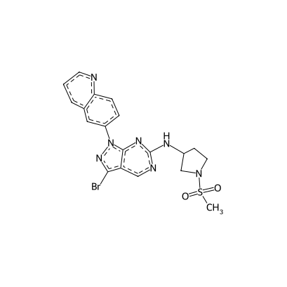 CS(=O)(=O)N1CCC(Nc2ncc3c(Br)nn(-c4ccc5ncccc5c4)c3n2)C1